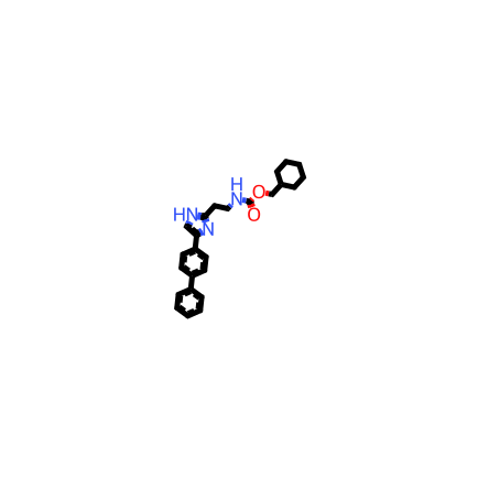 O=C(NCCc1nc(-c2ccc(-c3ccccc3)cc2)c[nH]1)OCC1CCCCC1